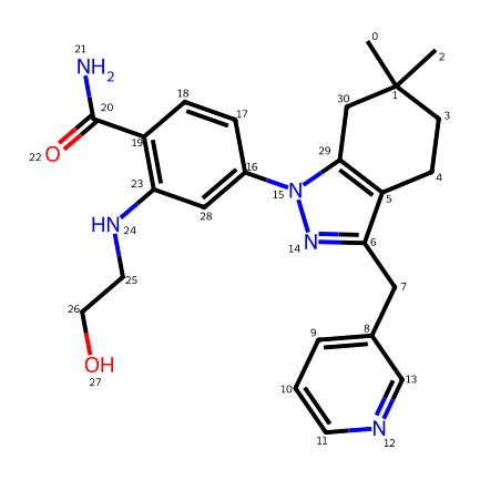 CC1(C)CCc2c(Cc3cccnc3)nn(-c3ccc(C(N)=O)c(NCCO)c3)c2C1